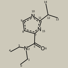 CCN(CC)C(=O)c1ccnc(C(C)C)n1